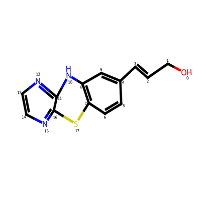 OC/C=C/c1ccc2c(c1)Nc1nccnc1S2